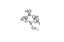 C[Si](C)C.OB(O)O